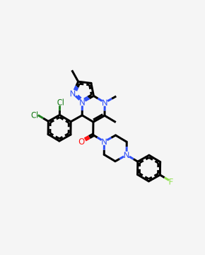 CC1=C(C(=O)N2CCN(c3ccc(F)cc3)CC2)C(c2cccc(Cl)c2Cl)n2nc(C)cc2N1C